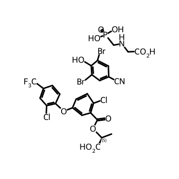 C[C@H](OC(=O)c1cc(Oc2ccc(C(F)(F)F)cc2Cl)ccc1Cl)C(=O)O.N#Cc1cc(Br)c(O)c(Br)c1.O=C(O)CNCP(=O)(O)O